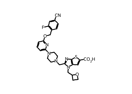 N#Cc1ccc(COc2cccc(N3CCN(Cc4nc5sc(C(=O)O)cc5n4CC4CCO4)CC3)n2)c(F)c1